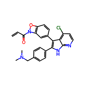 C=CC(=O)n1oc2ccc(-c3c(-c4ccc(CN(C)C)cc4)[nH]c4nccc(Cl)c34)cc21